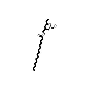 CCCCCCCCCCCCCCCC(=O)OCC(COC=O)CC(=O)CC